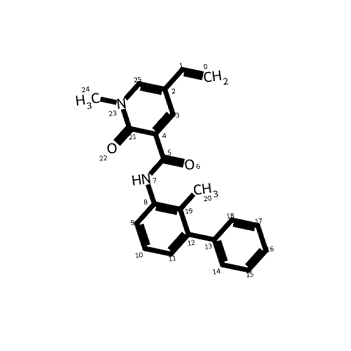 C=Cc1cc(C(=O)Nc2cccc(-c3ccccc3)c2C)c(=O)n(C)c1